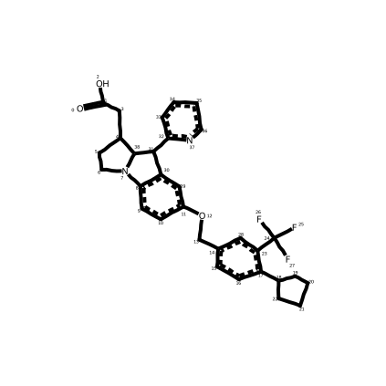 O=C(O)CC1CCN2c3ccc(OCc4ccc(C5CCCC5)c(C(F)(F)F)c4)cc3C(c3ccccn3)C12